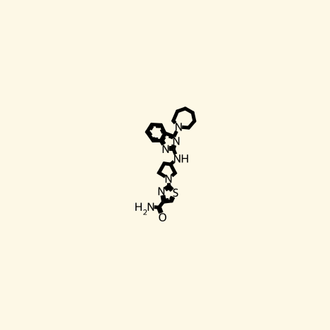 NC(=O)c1csc(N2CCC(Nc3nc(N4CCCCCC4)c4ccccc4n3)C2)n1